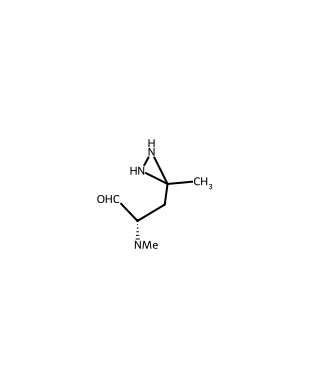 CN[C@H](C=O)CC1(C)NN1